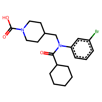 O=C(O)N1CCC(CN(C(=O)C2CCCCC2)c2cccc(Br)c2)CC1